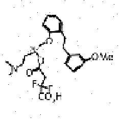 COc1cccc(CCc2ccccc2OC[C@@H](CCN(C)C)OC(=O)CC(F)(F)C(=O)O)c1